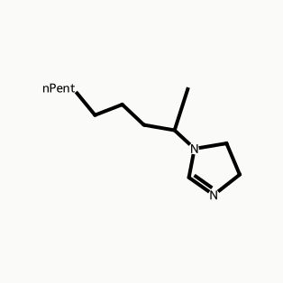 CCCCCCCCC(C)N1C=NCC1